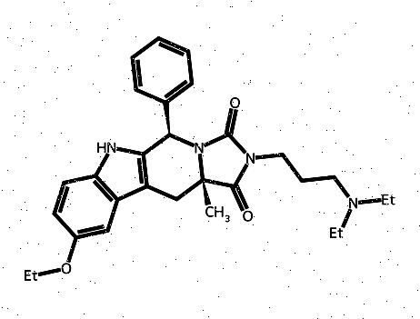 CCOc1ccc2[nH]c3c(c2c1)C[C@@]1(C)C(=O)N(CCCN(CC)CC)C(=O)N1[C@@H]3c1ccccc1